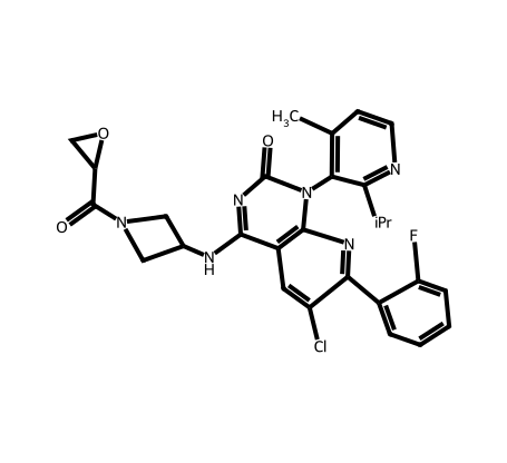 Cc1ccnc(C(C)C)c1-n1c(=O)nc(NC2CN(C(=O)C3CO3)C2)c2cc(Cl)c(-c3ccccc3F)nc21